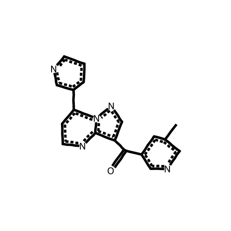 Cc1cncc(C(=O)c2cnn3c(-c4cccnc4)ccnc23)c1